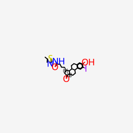 Cc1cnc(NC(=O)CCC[C@@H]2CC(=O)[C@@]3(C)CCC4c5cc(I)c(O)cc5CCC4C23)s1